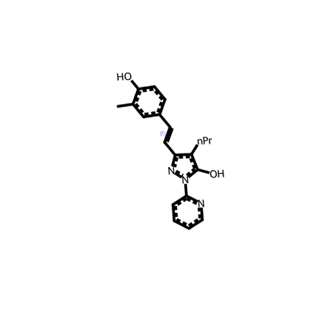 CCCc1c(/C=C/c2ccc(O)c(C)c2)nn(-c2ccccn2)c1O